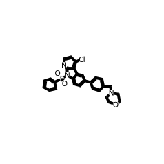 O=S(=O)(c1ccccc1)n1c2ccc(-c3ccc(CN4CCOCC4)cc3)cc2c2c(Cl)ccnc21